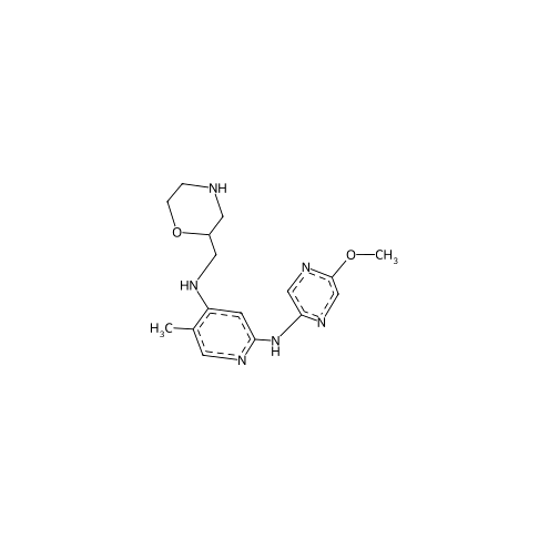 COc1cnc(Nc2cc(NCC3CNCCO3)c(C)cn2)cn1